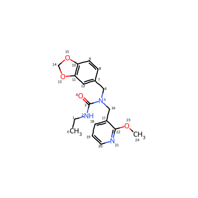 CCNC(=O)N(Cc1ccc2c(c1)OCO2)Cc1cccnc1OC